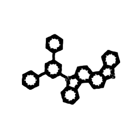 c1ccc(-c2cc(-c3ccccc3)cc(-n3c4ccccc4c4c5ccc6sc7ccccc7c6c5ccc43)c2)cc1